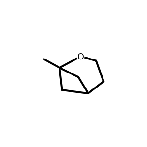 CC12CC(CCO1)C2